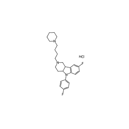 Cl.Fc1ccc(N2c3ccc(F)cc3C3CN(CCCCN4CCCCC4)CCC32)cc1